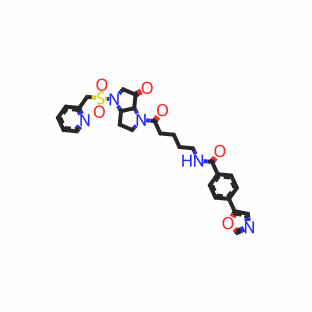 O=C(NCCCCC(=O)N1CCC2C1C(=O)CN2S(=O)(=O)Cc1ccccn1)c1ccc(-c2cnco2)cc1